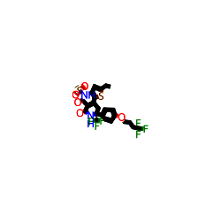 CCc1ccc(C2=C(C(=O)NS(C)(=O)=O)C(=O)N[C@@](c3ccc(OCCCC(F)(F)F)cc3)(C(F)(F)F)C2)s1